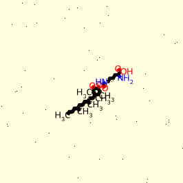 C/C=C/C=C(C)/C=C/C=C(C)/C=C/C1=C(C)C(=O)C(OC(=O)NCCCCC(N)C(=O)O)CC1(C)C